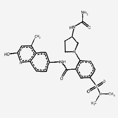 Cc1cc(O)nc2ccc(NC(=O)c3cc(S(=O)(=O)N(C)C)ccc3N3CCC(NC(N)=O)C3)cc12